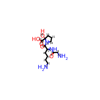 NCCCCC(NC(=O)CN)C(=O)N1CCCC1(O)C(=O)O